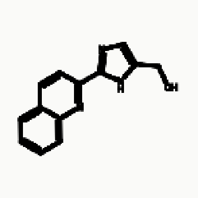 OCc1cnc(-c2ccc3ccccc3n2)[nH]1